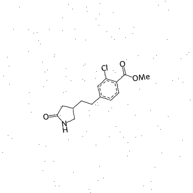 COC(=O)c1ccc(CCC2CNC(=O)C2)cc1Cl